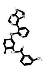 Cc1ccc(Nc2ncccc2-c2ncnc3[nH]cnc23)cc1NC(=O)c1cccc(C(F)(F)F)c1